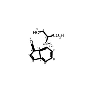 NC(CO)C(=O)O.O=C1C=Cc2ccccc21